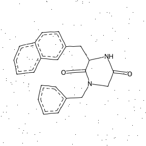 O=C1CN(Cc2ccccc2)C(=O)C(Cc2ccc3ccccc3c2)N1